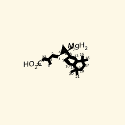 CC(/C=C/[C@@H]1C[C@]1(C)c1ccc2c(c1)C(C)(C)CCC2(C)C)=C\C(=O)O.[MgH2]